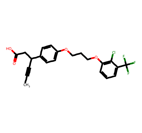 CC#CC(CC(=O)O)c1ccc(OCCCOc2cccc(C(F)(F)F)c2Cl)cc1